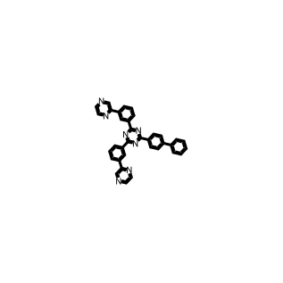 c1ccc(-c2ccc(-c3nc(-c4cccc(-c5cnccn5)c4)nc(-c4cccc(-c5cnccn5)c4)n3)cc2)cc1